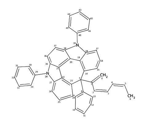 C=C(/C=C\C=C/C)C1(c2ccccc2)c2cccc3c2c2c4c5c1cccc5n(-c1ccccc1)c4ccc2n3-c1ccccc1